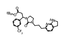 CC(C)(C)OC(=O)CC(c1cccc(C(F)(F)F)c1)N1CCN(CCCc2ccc3c(n2)NCC3)C1=O